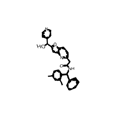 Cc1ccc(C(NC(=O)Cc2ccc3oc(C(O)c4ccncc4)cc3n2)c2ccccc2)c(C)c1